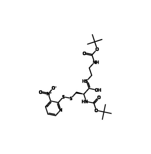 CC(C)(C)OC(=O)NCC[SH]=C(O)[C@H](CSSc1ncccc1[N+](=O)[O-])NC(=O)OC(C)(C)C